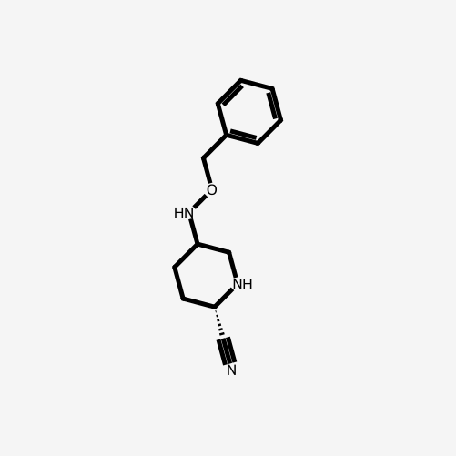 N#C[C@@H]1CCC(NOCc2ccccc2)CN1